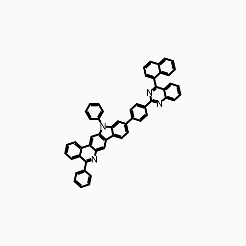 c1ccc(-c2nc3cc4c5ccc(-c6ccc(-c7nc(-c8cccc9ccccc89)c8ccccc8n7)cc6)cc5n(-c5ccccc5)c4cc3c3ccccc23)cc1